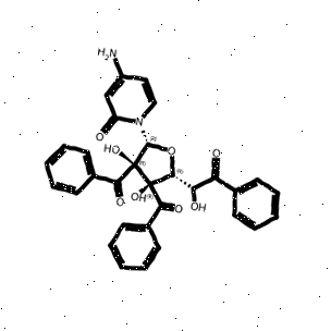 Nc1ccn([C@@H]2O[C@H](C(O)C(=O)c3ccccc3)[C@](O)(C(=O)c3ccccc3)[C@]2(O)C(=O)c2ccccc2)c(=O)c1